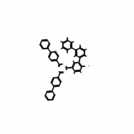 Bc1c(O)c(-c2nc(-c3ccc(-c4ccccc4)cc3)nc(-c3ccc(-c4ccccc4)cc3)n2)c2sc3c(-c4c(O)c(O)c(O)c(O)c4O)c(O)c(O)c(O)c3c2c1O